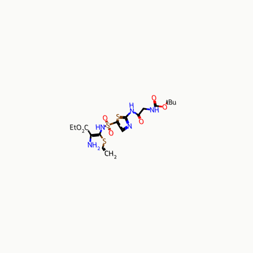 C=CS/C(NS(=O)(=O)c1cnc(NC(=O)CNC(=O)OC(C)(C)C)s1)=C(\N)C(=O)OCC